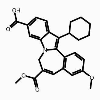 COC(=O)C1=Cc2cc(OC)ccc2-c2c(C3CCCCC3)c3ccc(C(=O)O)cc3n2C1